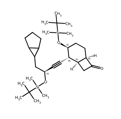 CC(C)(C)[Si](C)(C)O[C@H](C#C[C@H]1[C@@H]2CC(=O)[C@@H]2CC[C@@H]1O[Si](C)(C)C(C)(C)C)CC1C2CCCC21